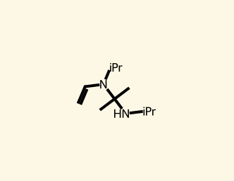 C=CN(C(C)C)C(C)(C)NC(C)C